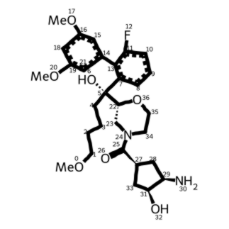 COCCCC[C@@](O)(c1cccc(F)c1-c1cc(OC)cc(OC)c1)[C@H]1CN(C(=O)[C@H]2C[C@@H](N)[C@@H](O)C2)CCO1